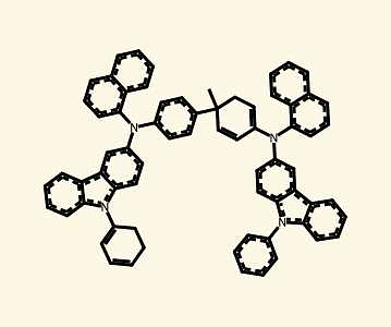 CC1(c2ccc(N(c3ccc4c(c3)c3ccccc3n4C3=CC=CCC3)c3cccc4ccccc34)cc2)C=CC(N(c2ccc3c(c2)c2ccccc2n3-c2ccccc2)c2cccc3ccccc23)=CC1